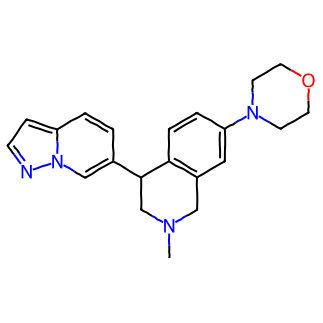 CN1Cc2cc(N3CCOCC3)ccc2C(c2ccc3ccnn3c2)C1